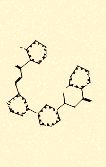 O=C(C=Cc1cccc(-c2cccc(C3CC(=O)c4ccccc4O3)c2)c1)c1ccccc1O